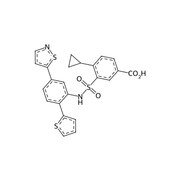 O=C(O)c1ccc(C2CC2)c(S(=O)(=O)Nc2cc(-c3ccns3)ccc2-c2cccs2)c1